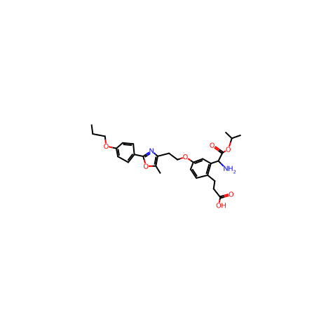 CCCOc1ccc(-c2nc(CCOc3ccc(CCC(=O)O)c(C(N)C(=O)OC(C)C)c3)c(C)o2)cc1